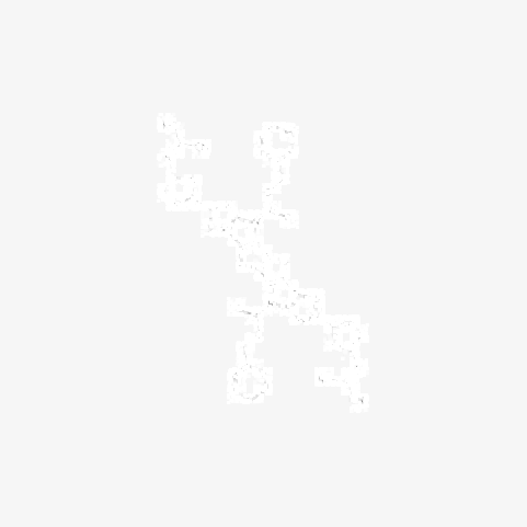 N#CC(C#N)=Nc1ccc(-c2cc3c(s2)c2sc4c(sc5c6sc(-c7ccc(N=C(C#N)C#N)s7)cc6n(C(=O)OCc6ccccc6)c54)c2n3C(=O)OCc2ccccc2)s1